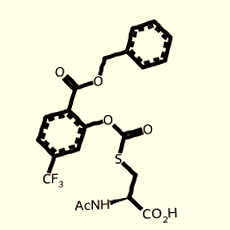 CC(=O)N[C@@H](CSC(=O)Oc1cc(C(F)(F)F)ccc1C(=O)OCc1ccccc1)C(=O)O